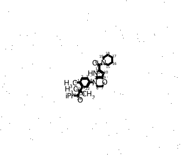 Cc1ccc(N2CCOc3cc(C(=O)N4CCCCC4)[nH]c32)cc1C(C)(C)C(=O)C(C)C